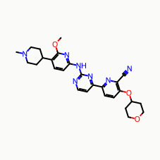 COc1nc(Nc2nccc(-c3ccc(OC4CCOCC4)c(C#N)n3)n2)ccc1C1CCN(C)CC1